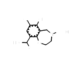 Cc1c(Cl)cc(C(C)Cl)c2c1CN(C(=O)O)CCO2